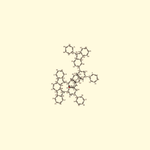 c1ccc(-c2nc(-c3cccc(-n4c5ccccc5c5ccc6c7ccccc7n(-c7nc(-c8ccccc8)nc(-c8ccccc8)n7)c6c54)c3)nc(-c3ccc4c(c3)c3ccccc3n4-c3ccccc3)n2)cc1